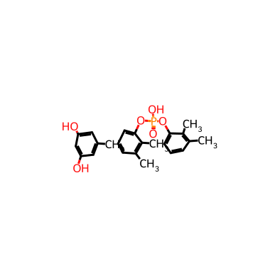 Cc1cc(O)cc(O)c1.Cc1cccc(OP(=O)(O)Oc2cccc(C)c2C)c1C